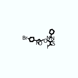 Brc1ccc(-c2cc(COc3nc(-c4ccccc4)nc4scc(I)c34)on2)cc1